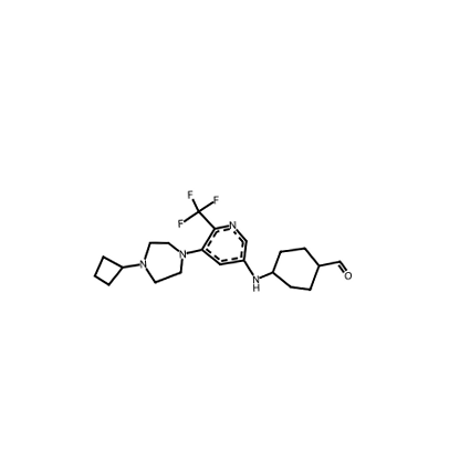 O=CC1CCC(Nc2cnc(C(F)(F)F)c(N3CCN(C4CCC4)CC3)c2)CC1